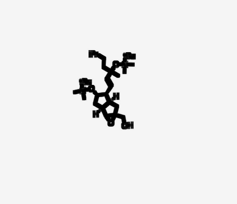 CC(C)CCC(C)(/C=C/[C@H]1[C@H]2CC3(CO)OC3[C@H]2C[C@H]1O[Si](C)(C)C(C)(C)C)O[Si](C)(C)C(C)(C)C